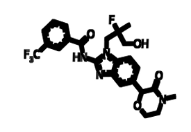 CN1CCOC(c2ccc3c(c2)nc(NC(=O)c2cccc(C(F)(F)F)c2)n3CC(C)(F)CO)C1=O